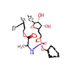 CCC(CC)COC(=O)C(C)NP(=O)(OCC1O[C@@H](C)[C@H](O)[C@@H]1O)Oc1ccccc1